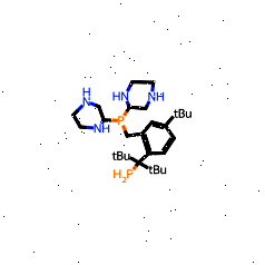 CC(C)(C)c1ccc(C(P)(C(C)(C)C)C(C)(C)C)c(CP(C2CNCCN2)C2CNCCN2)c1